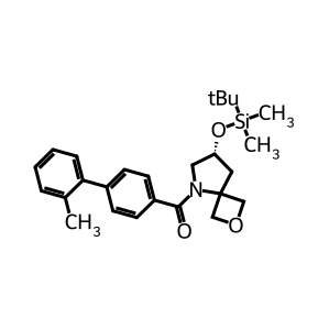 Cc1ccccc1-c1ccc(C(=O)N2C[C@H](O[Si](C)(C)C(C)(C)C)CC23COC3)cc1